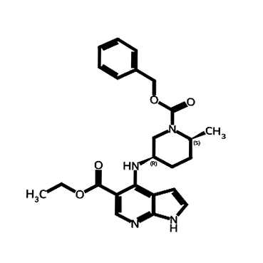 CCOC(=O)c1cnc2[nH]ccc2c1N[C@@H]1CC[C@H](C)N(C(=O)OCc2ccccc2)C1